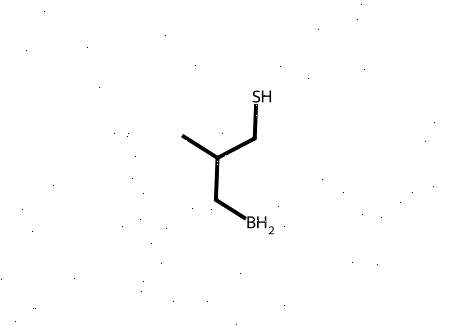 BCC(C)CS